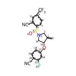 C=C1CN([S+]([O-])c2ccc(C(F)(F)F)cc2C#N)C[C@@H]1Oc1ccc(C#N)c(F)c1